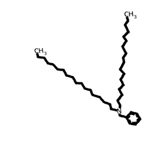 CCCCCCCCCCCCCCCCCCN(CCCCCCCCCCCCCCCCCC)Cc1ccccc1